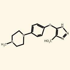 CN1CCN(c2ccc(Oc3[nH]nnc3C(=O)O)cc2)CC1